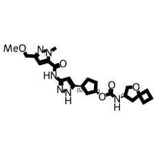 COCc1cc(C(=O)Nc2cc([C@H]3CC[C@@H](OC(=O)N[C@@H]4COC5(CCC5)C4)C3)[nH]n2)n(C)n1